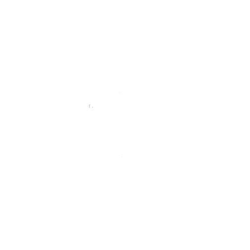 COc1cc(CC[NH])c(S(=O)(=O)O)cc1S(=O)(=O)O